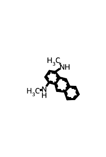 CNc1ccc(NC)c2cc3ccccc3cc12